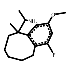 COc1cc(F)c2c(c1)C(C)(C(C)N)CCCCC2